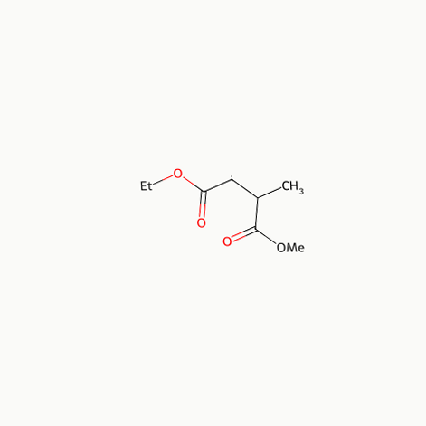 CCOC(=O)[CH]C(C)C(=O)OC